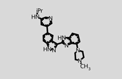 CC(C)Nc1cncc(-c2ccc3[nH]nc(-c4nc5c(N6CCN(C)CC6)cccc5[nH]4)c3c2)c1